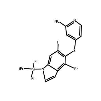 CC(C)[Si](C(C)C)(C(C)C)n1ccc2c(Br)c(Sc3ccnc(C#N)c3)c(F)cc21